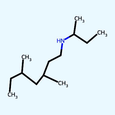 CCC(C)CC(C)CCNC(C)CC